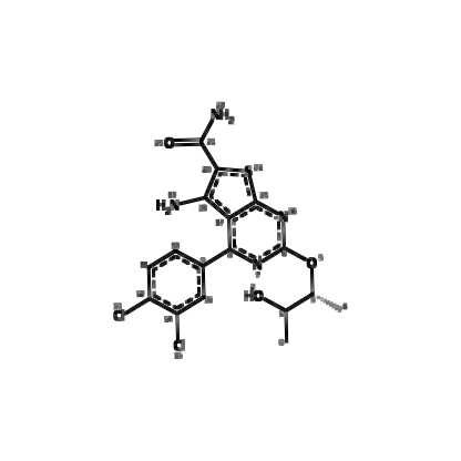 CC(O)[C@@H](C)Oc1nc(-c2ccc(Cl)c(Cl)c2)c2c(N)c(C(N)=O)sc2n1